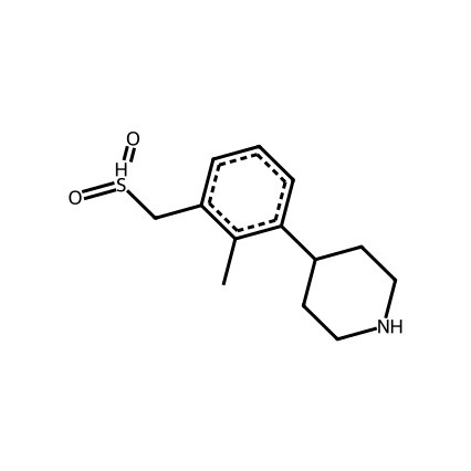 Cc1c(C[SH](=O)=O)cccc1C1CCNCC1